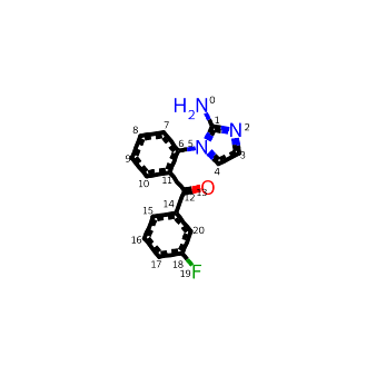 Nc1nccn1-c1ccccc1C(=O)c1cccc(F)c1